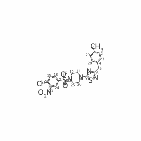 Cc1ccc(Cc2nsc(N3CCN(S(=O)(=O)c4ccc(Cl)c([N+](=O)[O-])c4)CC3)n2)cc1